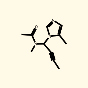 CC#CC(N(C)C(C)=O)n1cncc1C